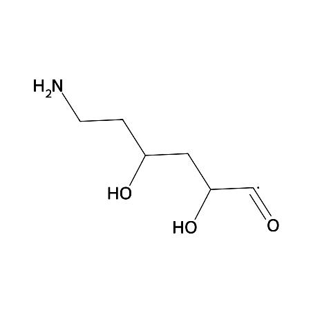 NCCC(O)CC(O)[C]=O